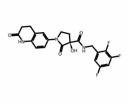 O=C1CCc2cc(N3CC[C@](O)(C(=O)NCc4cc(F)cc(F)c4F)C3=O)ccc2N1